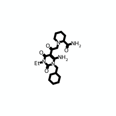 CCn1c(=O)c(C(=O)CN2CCCCC2C(N)=O)c(N)n(CC2CCCCC2)c1=O